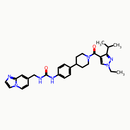 CCn1cc(C(=O)N2CCC(c3ccc(NC(=O)NCc4ccn5ccnc5c4)cc3)CC2)c(C(C)C)n1